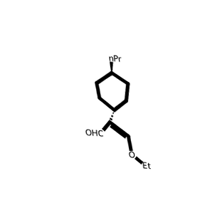 CCC[C@H]1CC[C@H](C(C=O)=COCC)CC1